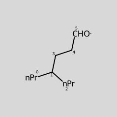 CCCC(CCC)CC[C]=O